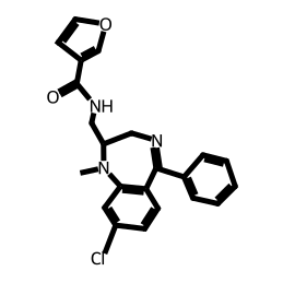 CN1c2cc(Cl)ccc2C(c2ccccc2)=NCC1CNC(=O)c1ccoc1